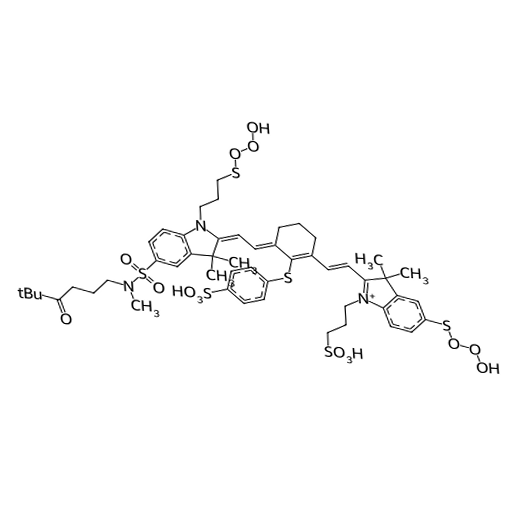 CN(CCCC(=O)C(C)(C)C)S(=O)(=O)c1ccc2c(c1)C(C)(C)/C(=C\C=C1/CCCC(/C=C/C3=[N+](CCCS(=O)(=O)O)c4ccc(SOOO)cc4C3(C)C)=C1Sc1ccc(S(=O)(=O)O)cc1)N2CCCSOOO